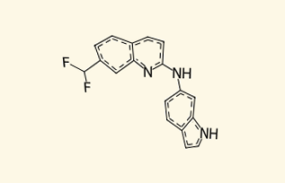 FC(F)c1ccc2ccc(Nc3ccc4cc[nH]c4c3)nc2c1